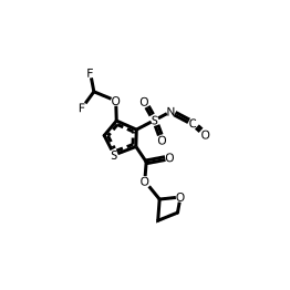 O=C=NS(=O)(=O)c1c(OC(F)F)csc1C(=O)OC1CCO1